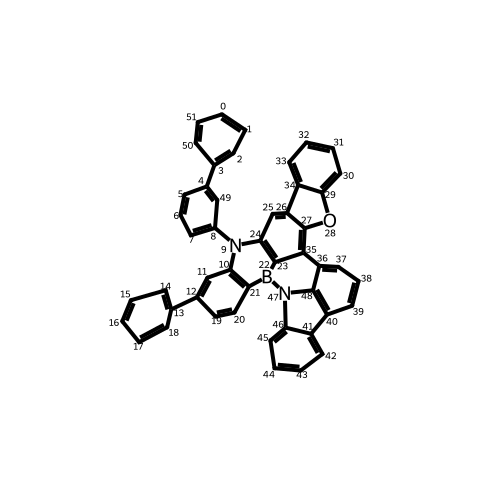 c1ccc(-c2cccc(N3c4cc(-c5ccccc5)ccc4B4c5c3cc3c(oc6ccccc63)c5-c3cccc5c6ccccc6n4c35)c2)cc1